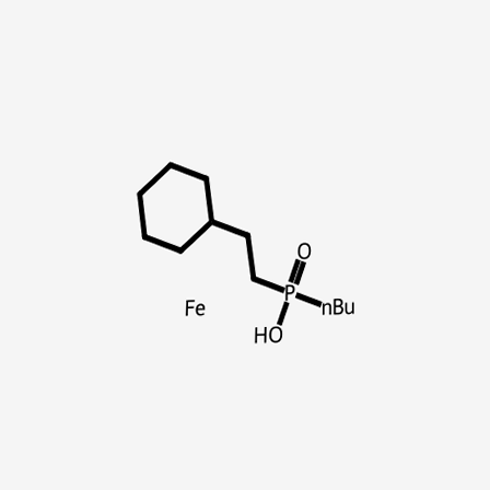 CCCCP(=O)(O)CCC1CCCCC1.[Fe]